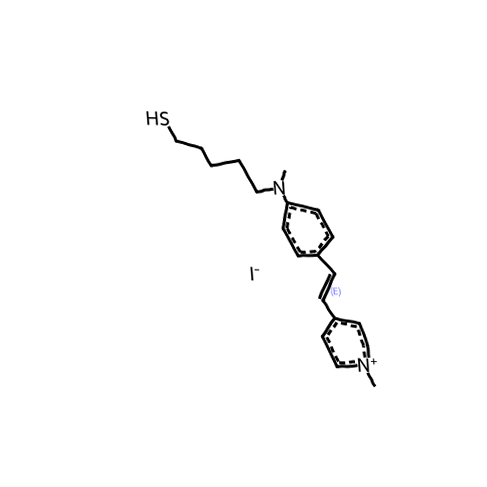 CN(CCCCCS)c1ccc(/C=C/c2cc[n+](C)cc2)cc1.[I-]